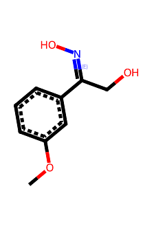 COc1cccc(/C(CO)=N\O)c1